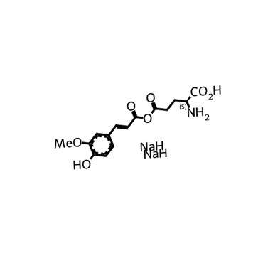 COc1cc(C=CC(=O)OC(=O)CC[C@H](N)C(=O)O)ccc1O.[NaH].[NaH]